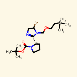 CC(C)(C)OC(=O)N1CCC[C@H]1C1=NCC(Br)N1COCC[Si](C)(C)C